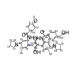 COc1ccc(C(=O)NC2=CC(=[N+]3CCCC3)C(C)=C/C2=C2/C(=O)C(c3cc(C)c(N4CCCC4)cc3NC(=O)c3ccc(CO)cc3)=C2O)cc1